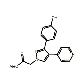 COC(=O)Cn1cc(-c2ccncc2)c(-c2ccc(O)cc2)n1